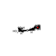 N[C@@H](CC(=O)O)C(=O)C(=O)[C@H](CC(=O)O)NNC(=O)CCCCCSSCCCC(=O)Nc1ccn([C@H]2C[C@@H](O)[C@@H](COP(=O)(O)OP(=O)(O)OP(=O)(O)O)O2)c(=O)n1